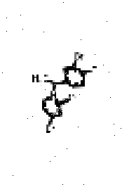 CC(c1ccc(F)c(Br)c1)n1ccc(Br)cc1=O